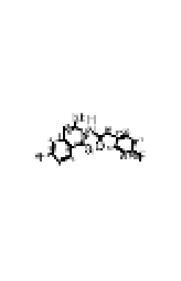 CCc1nc2cc(F)ccc2c(=O)n1NC(=O)Cc1ccc(F)cc1